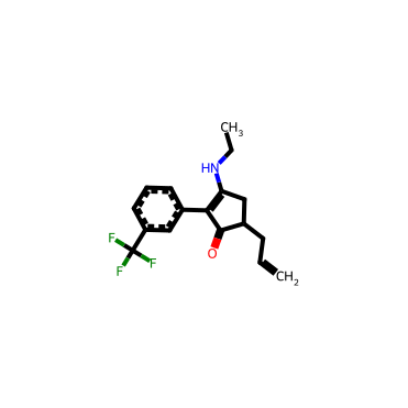 C=CCC1CC(NCC)=C(c2cccc(C(F)(F)F)c2)C1=O